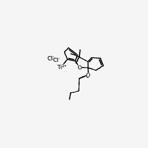 CCCCOC1(OC2=[C]([Ti+2])CC=C2)CC=CC=C1C(C)(C)C.[Cl-].[Cl-]